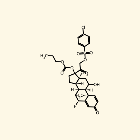 CCCOC(=O)O[C@]1(C(=O)COS(=O)(=O)c2ccc(Cl)cc2)CC[C@H]2[C@@H]3C[C@H](F)C4=CC(=O)C=C[C@]4(C)[C@H]3C(O)C[C@@]21C